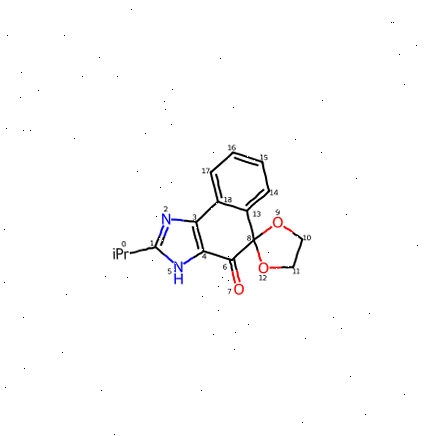 CC(C)c1nc2c([nH]1)C(=O)C1(OCCO1)c1ccccc1-2